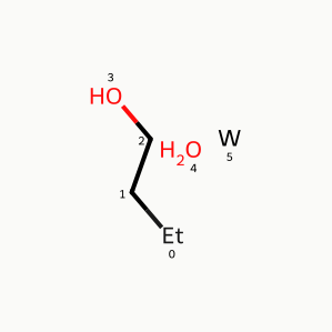 CCCCO.O.[W]